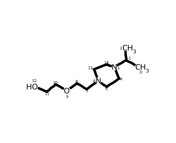 CC(C)N1CCN(CCOCCO)CC1